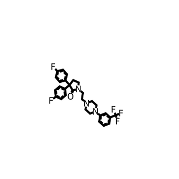 O=C1N(CCN2CCN(c3cccc(C(F)(F)F)c3)CC2)CCC1(c1ccc(F)cc1)c1ccc(F)cc1